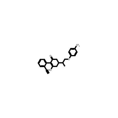 C#Cc1ccccc1C1=C(O)CC(C(C)CSc2ccc(C(F)(F)F)cc2)CC1=O